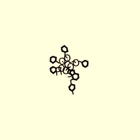 Cc1ccc(Cc2cccc3cc(C4(O)O[C@H](COCc5ccccc5)[C@@H](OCc5ccccc5)[C@H](OCc5ccccc5)[C@H]4OCc4ccccc4)sc23)cc1